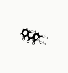 Cn1c(C(F)(F)F)ccc(C(=O)C2=C(O)CCCC2=O)c1=O